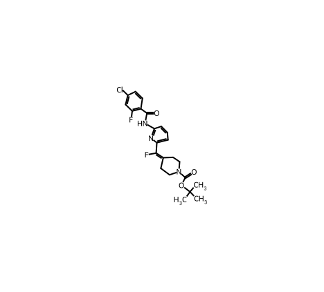 CC(C)(C)OC(=O)N1CCC(=C(F)c2cccc(NC(=O)c3ccc(Cl)cc3F)n2)CC1